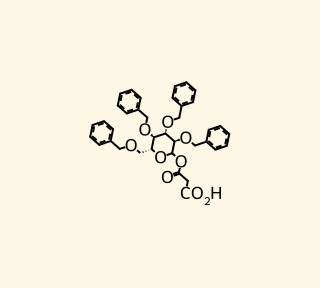 O=C(O)CC(=O)OC1O[C@H](COCc2ccccc2)[C@@H](OCc2ccccc2)[C@H](OCc2ccccc2)[C@H]1OCc1ccccc1